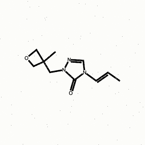 C/C=C/n1cnn(CC2(C)COC2)c1=O